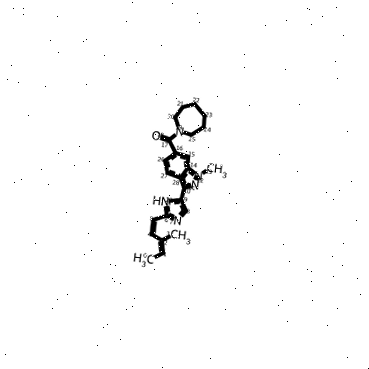 C/C=C(C)\C=C/c1ncc(-c2nn(C)c3cc(C(=O)N4CCCCCC4)ccc23)[nH]1